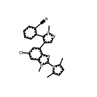 Cc1ccc(C)n1-c1nc2c(-c3cnn(C)c3-c3ccccc3C#N)cc(Cl)cc2n1C